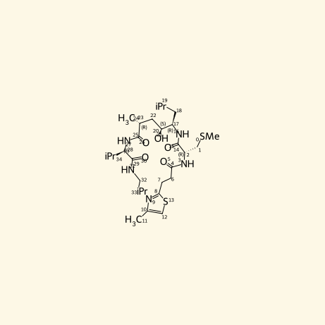 CSC[C@H](NC(=O)CCc1nc(C)cs1)C(=O)N[C@H](CC(C)C)[C@@H](O)C[C@@H](C)C(=O)N[C@@H](C(=O)NCC(C)C)C(C)C